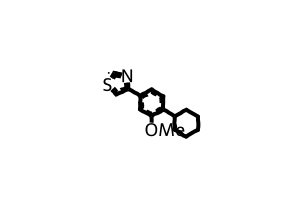 COc1cc(-c2cs[c]n2)ccc1C1CCCCC1